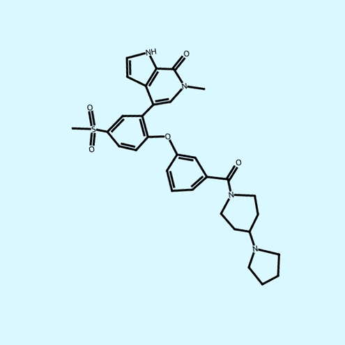 Cn1cc(-c2cc(S(C)(=O)=O)ccc2Oc2cccc(C(=O)N3CCC(N4CCCC4)CC3)c2)c2cc[nH]c2c1=O